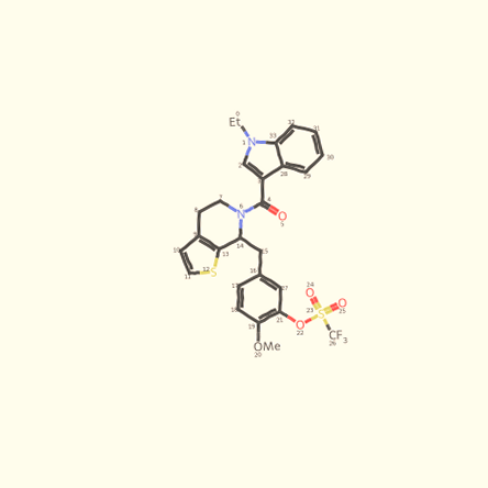 CCn1cc(C(=O)N2CCc3ccsc3C2Cc2ccc(OC)c(OS(=O)(=O)C(F)(F)F)c2)c2ccccc21